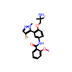 Cn1ncc(Br)c1-c1cc(NC(=O)c2ccccc2OI)ccc1OCC(C)(C)N